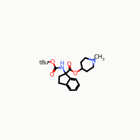 CN1CCC(OC(=O)C2(NC(=O)OC(C)(C)C)CCc3ccccc32)CC1